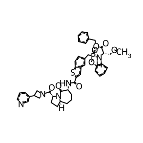 COC[C@H](NP(=O)(Cc1ccc2sc(C(=O)N[C@H]3CCC[C@H]4CC[C@@H](C(=O)N5CC(c6cccnc6)C5)N4C3=O)cc2c1)Oc1ccccc1)C(=O)OCc1ccccc1